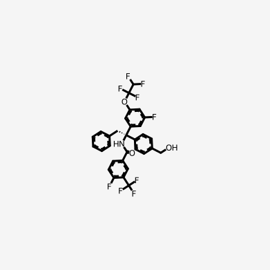 O=C(N[C@](Cc1ccccc1)(c1ccc(CO)cc1)c1cc(F)cc(OC(F)(F)C(F)F)c1)c1ccc(F)c(C(F)(F)F)c1